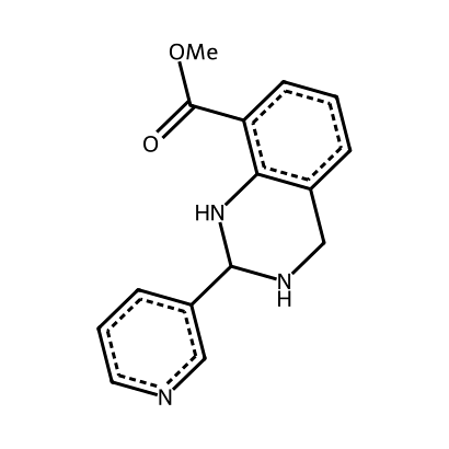 COC(=O)c1cccc2c1NC(c1cccnc1)NC2